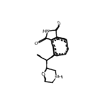 CC(c1cccc2c1C(=O)NC2=O)C1CNCCO1